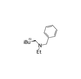 CC[C@H](C)CN(CC)Cc1ccccc1